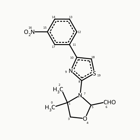 CC1(C)COC(C=O)N1c1nc(-c2cccc([N+](=O)[O-])c2)cs1